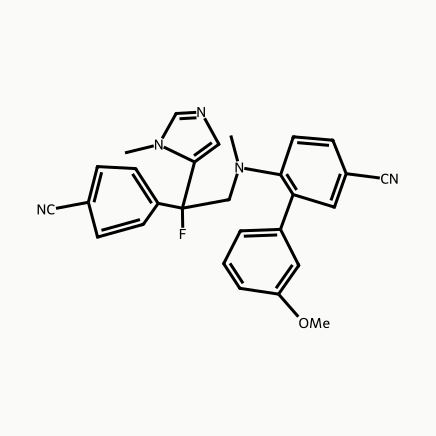 COc1cccc(-c2cc(C#N)ccc2N(C)CC(F)(c2ccc(C#N)cc2)c2cncn2C)c1